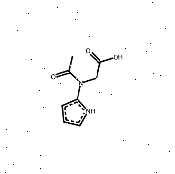 CC(=O)N(CC(=O)O)c1ccc[nH]1